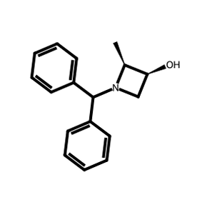 C[C@H]1[C@@H](O)CN1C(c1ccccc1)c1ccccc1